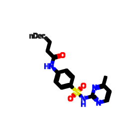 CCCCCCCCCCCCC(=O)Nc1ccc(S(=O)(=O)Nc2nccc(C)n2)cc1